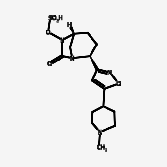 CN1CCC(c2cc([C@@H]3CC[C@@H]4CN3C(=O)N4OS(=O)(=O)O)no2)CC1